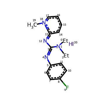 CCN(CC)C(=Nc1ccc(F)cc1)N=c1ccccn1C.I